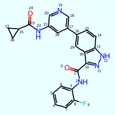 O=C(Nc1ccccc1F)c1n[nH]c2ccc(-c3cncc(NC(=O)C4CC4)c3)cc12